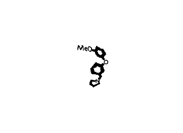 COc1cccc(Oc2cccc(CN3CCCC3)c2)c1